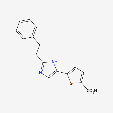 O=C(O)c1ccc(-c2cnc(CCc3ccccc3)[nH]2)s1